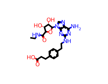 CCNC(=O)C1OC(n2cnc3c(N)nc(NCCc4ccc(CCC(=O)O)cc4)nc32)[C@@H](O)[C@H]1O